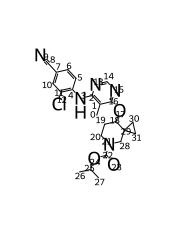 Cc1c(Nc2ccc(C#N)cc2Cl)ncnc1OC1CCN(C(=O)OC(C)C)CC12CC2